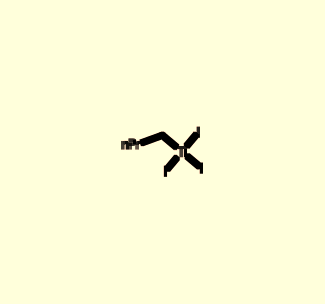 CCC[CH2][Ti]([I])([I])[I]